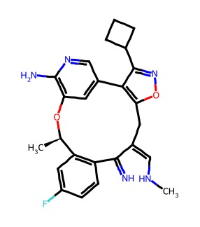 CN/C=C1/Cc2onc(C3CCC3)c2-c2cnc(N)c(c2)O[C@H](C)c2cc(F)ccc2C1=N